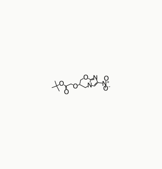 CC(C)(C)OC(=O)COC1COc2nc([N+](=O)[O-])cn2C1